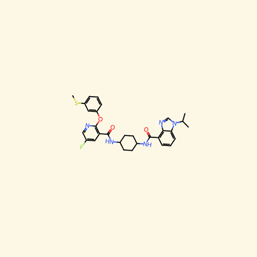 CSc1cccc(Oc2ncc(F)cc2C(=O)NC2CCC(NC(=O)c3cccc4c3ncn4C(C)C)CC2)c1